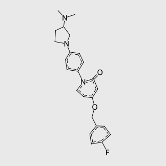 CN(C)C1CCN(c2ccc(-n3ccc(OCc4ccc(F)cc4)cc3=O)cc2)C1